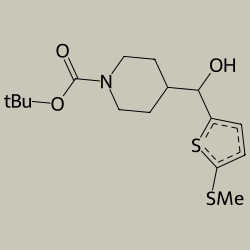 CSc1ccc(C(O)C2CCN(C(=O)OC(C)(C)C)CC2)s1